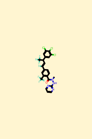 CN(Nc1ncccn1)C(=O)c1ccc(C(F)=CC(c2cc(Cl)c(Cl)c(Cl)c2)C(F)(F)F)cc1C(F)(F)F